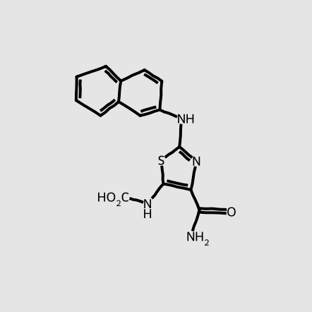 NC(=O)c1nc(Nc2ccc3ccccc3c2)sc1NC(=O)O